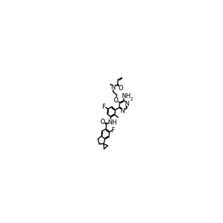 C=CC(=O)N(C)CCOc1c(N)ncnc1-c1cc(F)cc(NC(=O)c2cc3c(cc2F)C2(CC3)CC2)c1C